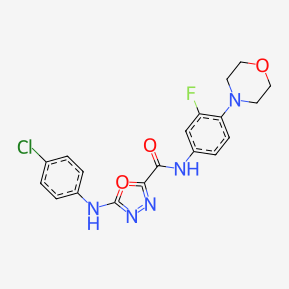 O=C(Nc1ccc(N2CCOCC2)c(F)c1)c1nnc(Nc2ccc(Cl)cc2)o1